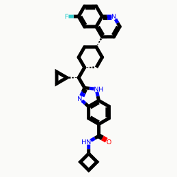 O=C(NC1CCC1)c1ccc2[nH]c([C@H](C3CC3)[C@H]3CC[C@@H](c4ccnc5ccc(F)cc54)CC3)nc2c1